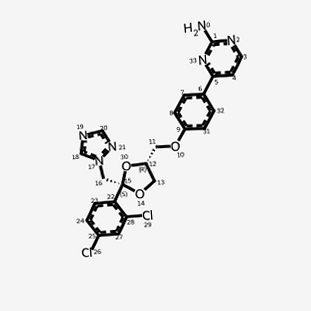 Nc1nccc(-c2ccc(OC[C@@H]3CO[C@@](Cn4cncn4)(c4ccc(Cl)cc4Cl)O3)cc2)n1